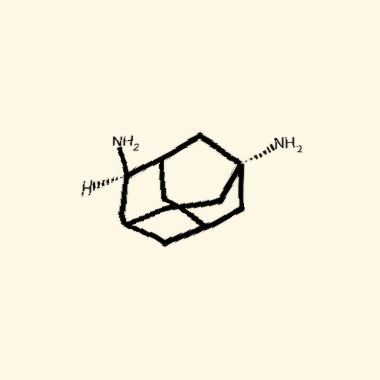 N[C@H]1C2CC3CC1C[C@](N)(C3)C2